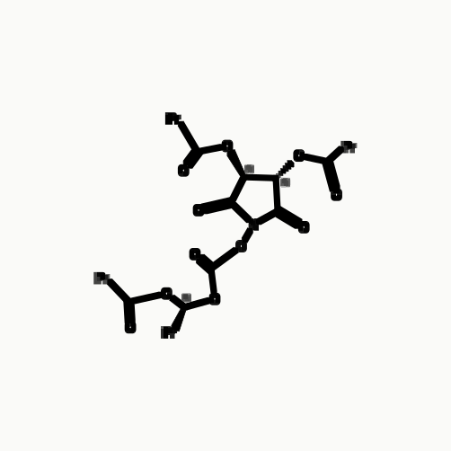 CC(C)C(=O)O[C@@H](OC(=O)ON1C(=O)[C@@H](OC(=O)C(C)C)[C@H](OC(=O)C(C)C)C1=O)C(C)C